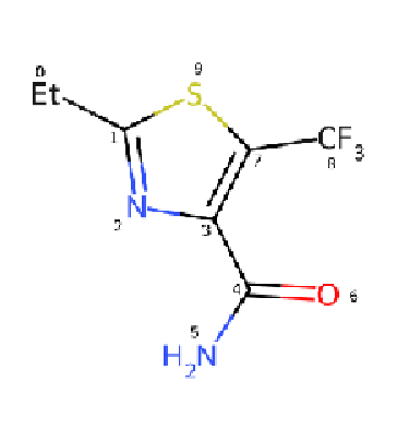 CCc1nc(C(N)=O)c(C(F)(F)F)s1